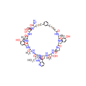 CC(C)[C@]1(C)NC(=O)[C@H](Cc2ccc(O)cc2)NC(=O)[C@H](C)NC(=O)[C@](C)(CCC(=O)O)NC(=O)[C@H](Cc2c[nH]c3ncccc23)NC(=O)[C@H]([C@@H](C)O)NC(=O)[C@@H]2CCCN2C(=O)[C@H](Cc2ccc(O)cc2)NC(=O)[C@H](C(C)(C)C)NC(=O)CCSCc2cccc(c2)CSC[C@H](C(N)=O)NC(=O)[C@H]([C@@H](C)O)NC1=O